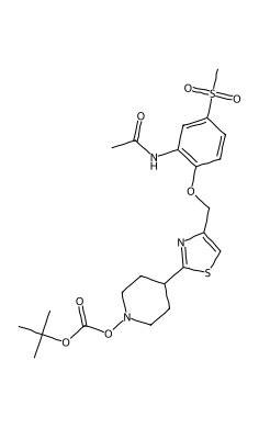 CC(=O)Nc1cc(S(C)(=O)=O)ccc1OCc1csc(C2CCN(OC(=O)OC(C)(C)C)CC2)n1